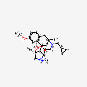 COc1ccc2c(c1)[C@]13CCN(CC4CC4)[C@H](C2)[C@]12CC[C@H]1NC[C@@H](O2)[C@H]13